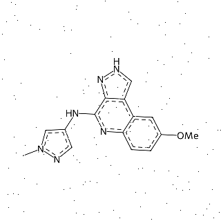 COc1ccc2nc(Nc3cnn(C)c3)c3n[nH]cc3c2c1